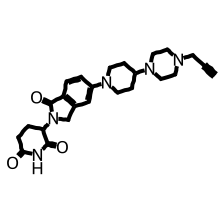 C#CCN1CCN(C2CCN(c3ccc4c(c3)CN(C3CCC(=O)NC3=O)C4=O)CC2)CC1